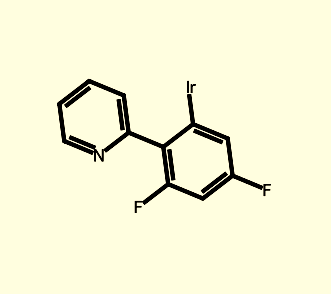 Fc1cc(F)c(-c2ccccn2)[c]([Ir])c1